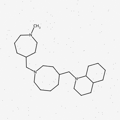 CN1CCCC(CN2CCCCC(CN3CCCC4CCCCC43)CC2)CC1